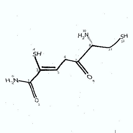 NC(=O)C(S)=CCC(=O)[C@H](N)CS